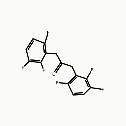 O=C(Cc1c(F)ccc(F)c1F)Cc1c(F)ccc(F)c1F